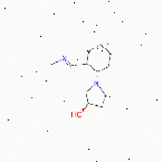 CN=CC1CCCC[C@@H]1N1CC[C@@H](O)C1